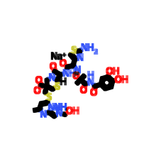 CC1=NC2=CN(CO)NN2C(SCC2(C(=O)[O-])CS[C@@H]3C(NC(=O)C(=NOC(C)(C)C(=O)NC(=O)c4ccc(O)c(O)c4)c4csc(N)n4)C(=O)N3C2)=C1.[Na+]